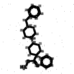 COC(=O)[C@]1(c2ccccc2)CC[C@@H](N2CCN(Cc3ccccc3)CC2)CC1